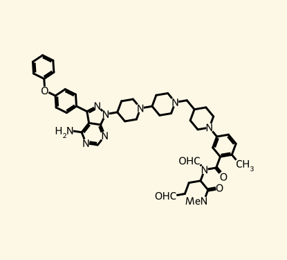 CNC(=O)C(CCC=O)N(C=O)C(=O)c1cc(N2CCC(CN3CCC(N4CCC(n5nc(-c6ccc(Oc7ccccc7)cc6)c6c(N)ncnc65)CC4)CC3)CC2)ccc1C